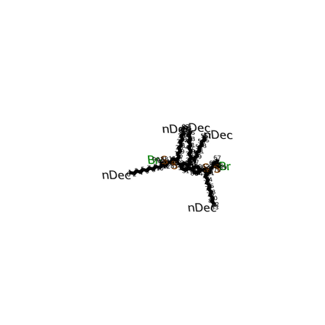 CCCCCCCCCCCCCCCCCCCCc1cc(-c2cc(CCCCCCCCCCCCCCCCCCCC)c(-c3ccc4c(c3)[Si](CCCCCCCCCCCCCCCCCCCC)(CCCCCCCCCCCCCCCCCCCC)c3cc(-c5sc(-c6cc(C)c(Br)s6)cc5CCCCCCCCCCCCCCCCCCCC)ccc3-4)s2)sc1Br